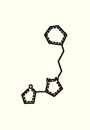 c1ccc(CCCn2ccc(-c3ccco3)n2)cc1